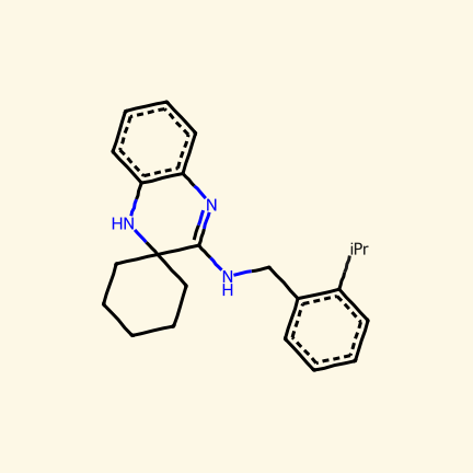 CC(C)c1ccccc1CNC1=Nc2ccccc2NC12CCCCC2